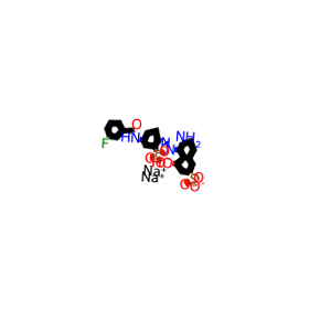 Nc1ccc2cc(S(=O)(=O)[O-])cc(O)c2c1N=Nc1ccc(NC(=O)c2cccc(F)c2)cc1S(=O)(=O)[O-].[Na+].[Na+]